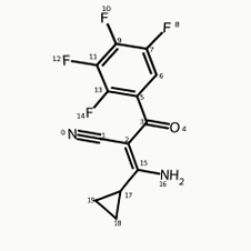 N#CC(C(=O)c1cc(F)c(F)c(F)c1F)=C(N)C1CC1